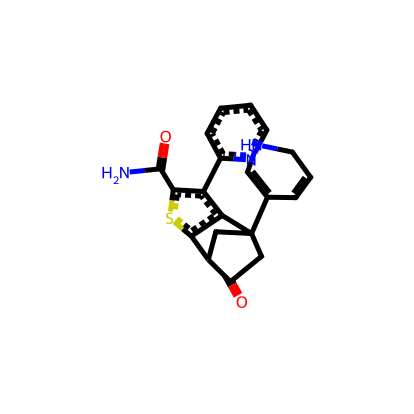 NC(=O)c1sc2c(c1-c1ccccn1)C1(C3=CNCC=C3)CC(=O)C2C1